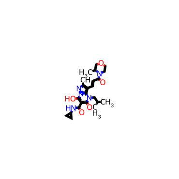 Cc1nn2c(O)c(C(=O)NC3CC3)c(=O)n(CC(C)C)c2c1C=CC(=O)N1CCOCC1C